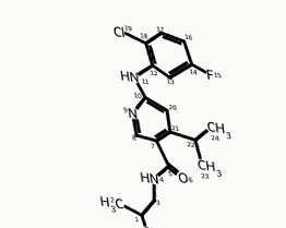 CC(C)CNC(=O)c1cnc(Nc2cc(F)ccc2Cl)cc1C(C)C